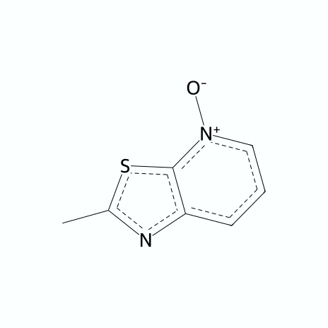 Cc1nc2ccc[n+]([O-])c2s1